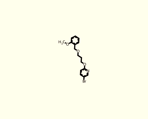 COc1ccccc1COCCCOc1ccc(Br)cn1